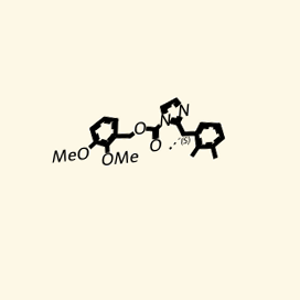 COc1cccc(COC(=O)n2ccnc2[C@@H](C)c2cccc(C)c2C)c1OC